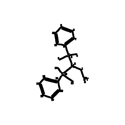 CC(C)CN(S(C)(C)c1ccccc1)S(C)(C)c1ccccc1